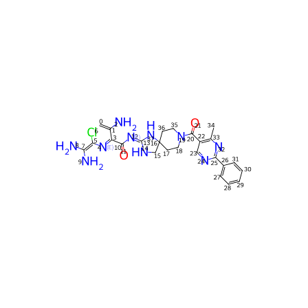 C=C(N)/C(=N\C(Cl)=C(N)N)C(=O)/N=C1\NCC2(CCN(C(=O)c3cnc(-c4ccccc4)nc3C)CC2)N1